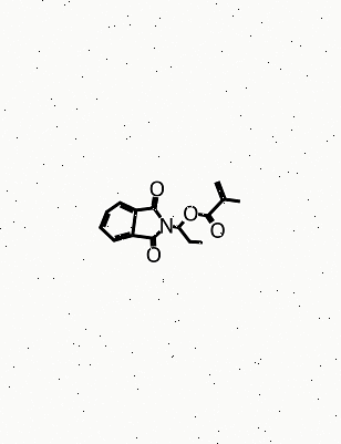 C=C(C)C(=O)OC(CC)N1C(=O)c2ccccc2C1=O